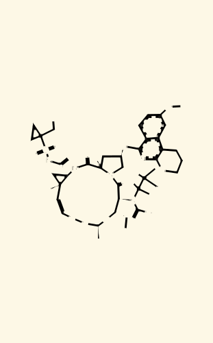 CC[C@@H]1C[C@@H](C)CC/C=C\[C@@H]2C[C@@]2(C(=O)NS(=O)(=O)C2(CF)CC2)NC(=O)[C@@H]2C[C@@H](Oc3nc4c(c5cc(OC)ccc35)CCCO4)CN2C(=O)[C@H]1N(C(=O)O)C(C)(C)C(C)(F)F